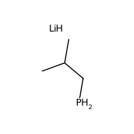 CC(C)CP.[LiH]